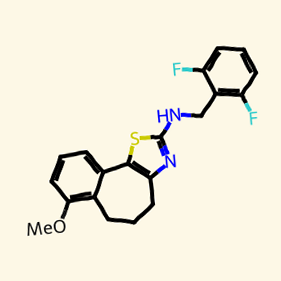 COc1cccc2c1CCCc1nc(NCc3c(F)cccc3F)sc1-2